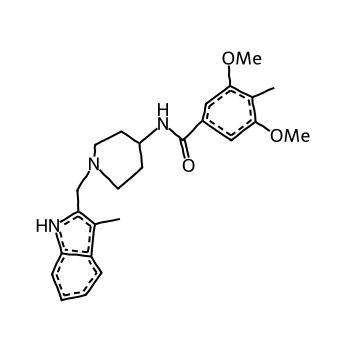 COc1cc(C(=O)NC2CCN(Cc3[nH]c4ccccc4c3C)CC2)cc(OC)c1C